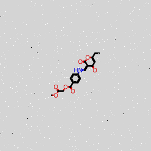 CCC1=CC(=O)C(=CNc2ccc(C(=O)OCC(=O)OC)cc2)C(=O)O1